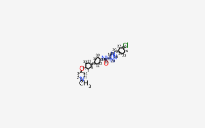 CN1CCC(Oc2ccc(-c3ccc(NC(=O)c4cn(Cc5cccc(Cl)c5)nn4)cc3)cc2)CC1